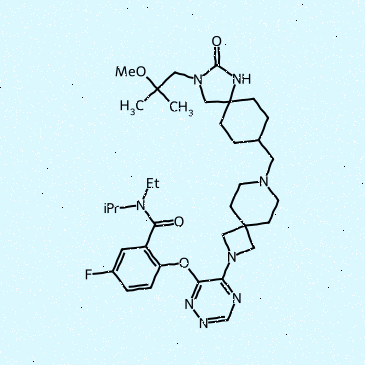 CCN(C(=O)c1cc(F)ccc1Oc1nncnc1N1CC2(CCN(CC3CCC4(CC3)CN(CC(C)(C)OC)C(=O)N4)CC2)C1)C(C)C